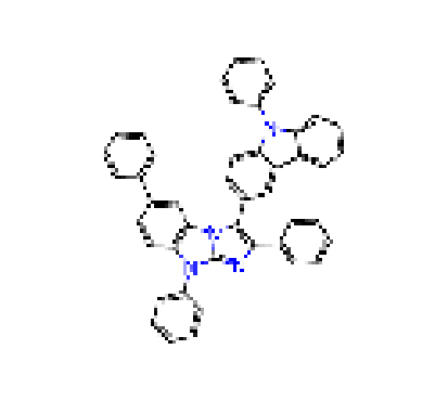 c1ccc(-c2ccc3c(c2)n2c(-c4ccc5c(c4)c4ccccc4n5-c4ccccc4)c(-c4ccccc4)nc2n3-c2ccccc2)cc1